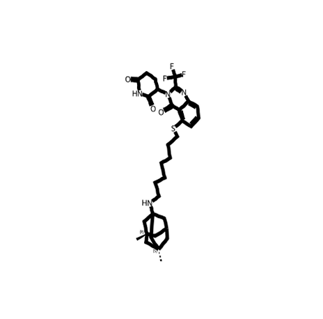 C[C@]12CC3CC(NCCCCCCCSc4cccc5nc(C(F)(F)F)n(C6CCC(=O)NC6=O)c(=O)c45)(C1)C[C@@](C)(C3)C2